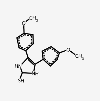 COc1ccc(C2=C(c3ccc(OC)cc3)NC(S)N2)cc1